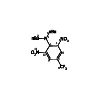 CCCCN(CCCC)c1c([N+](=O)[O-])cc(C(F)(F)F)cc1[N+](=O)[O-]